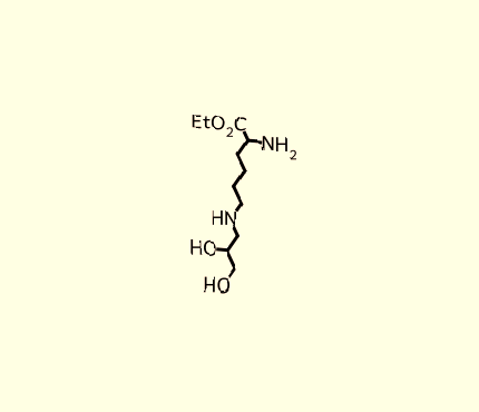 CCOC(=O)C(N)CCCCNCC(O)CO